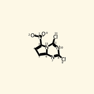 O=[N+]([O-])c1ccc2nc(Cl)nc(Cl)n12